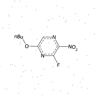 CCCCOc1cnc([N+](=O)[O-])c(F)n1